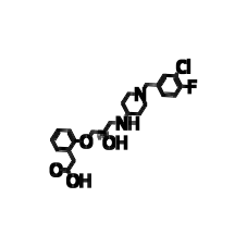 O=C(O)Cc1ccccc1OC[C@H](O)CNC1CCN(Cc2ccc(F)c(Cl)c2)CC1